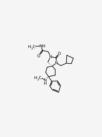 CNC(=O)CN1C[C@]2(CC[C@](NC)(c3ccccc3)CC2)N(CC2CCC2)C1=O